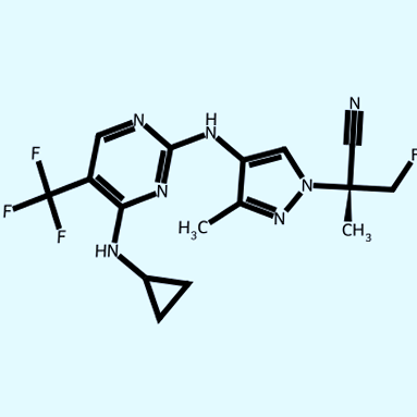 Cc1nn([C@](C)(C#N)CF)cc1Nc1ncc(C(F)(F)F)c(NC2CC2)n1